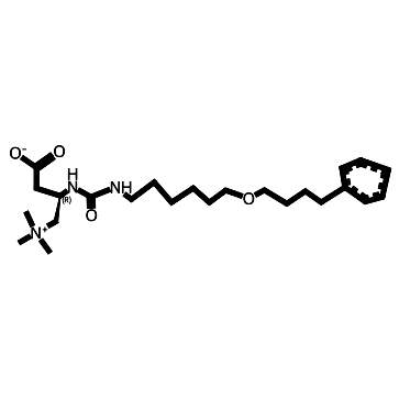 C[N+](C)(C)C[C@@H](CC(=O)[O-])NC(=O)NCCCCCCOCCCCc1ccccc1